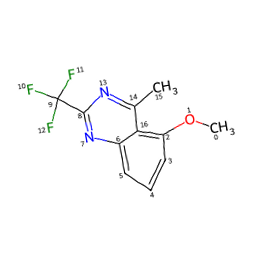 COc1cccc2nc(C(F)(F)F)nc(C)c12